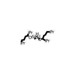 CC(C)CCCC(O[SiH2]C[SiH2]OC(CCCC(C)C)C(C)C)C(C)C